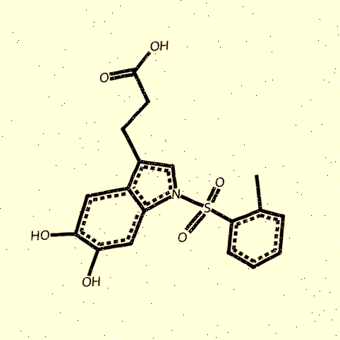 Cc1ccccc1S(=O)(=O)n1cc(CCC(=O)O)c2cc(O)c(O)cc21